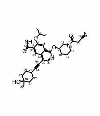 CC(C)Oc1cc2c(OC3CCCN(C(=O)CC#N)C3)ncc(C#CC3CCC(C)(O)CC3)c2cc1C(N)=O